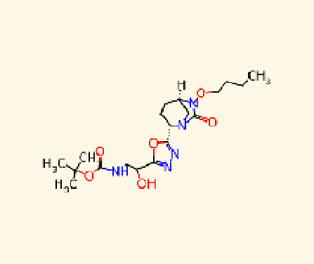 CCCCON1C(=O)N2C[C@H]1CC[C@H]2c1nnc(C(O)CNC(=O)OC(C)(C)C)o1